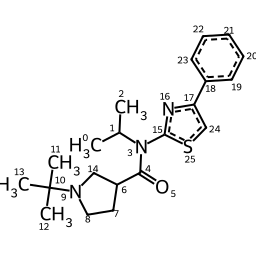 CC(C)N(C(=O)C1CCN(C(C)(C)C)C1)c1nc(-c2ccccc2)cs1